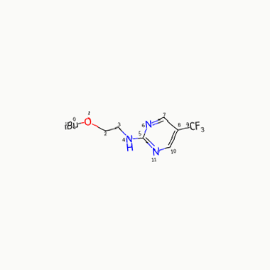 CCC(C)OCCNc1ncc(C(F)(F)F)cn1